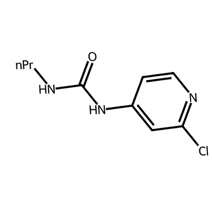 CCCNC(=O)Nc1ccnc(Cl)c1